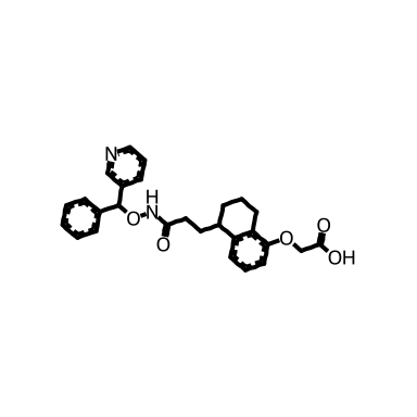 O=C(O)COc1cccc2c1CCCC2CCC(=O)NOC(c1ccccc1)c1cccnc1